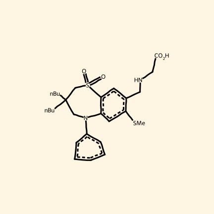 CCCCC1(CCCC)CN(c2ccccc2)c2cc(SC)c(CNCC(=O)O)cc2S(=O)(=O)C1